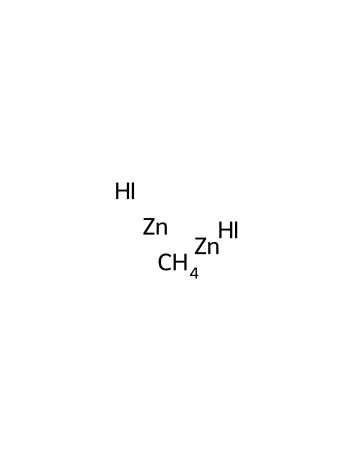 C.I.I.[Zn].[Zn]